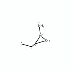 CCC1ON1N